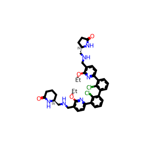 CCOc1nc(-c2cccc(-c3cccc(-c4ccc(CNC[C@@H]5CCC(=O)N5)c(OCC)n4)c3Cl)c2Cl)ccc1CNC[C@@H]1CCCC(=O)N1